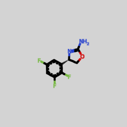 NC1=N[C@@H](c2cc(F)cc(F)c2F)CO1